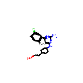 COc1ccc(Cl)cc1-c1cc(Nc2ccc(CCO)cc2)nc(N)n1